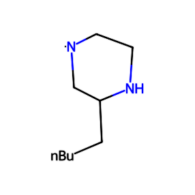 CCCCCC1C[N]CCN1